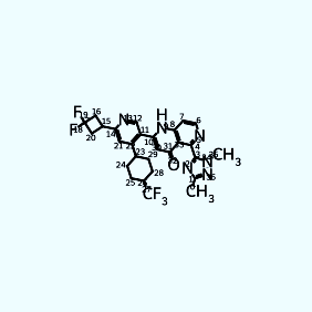 Cc1nc(-c2nccc3[nH]c(-c4cnc(C5CC(F)(F)C5)cc4C4CCC(C(F)(F)F)CC4)cc(=O)c23)n(C)n1